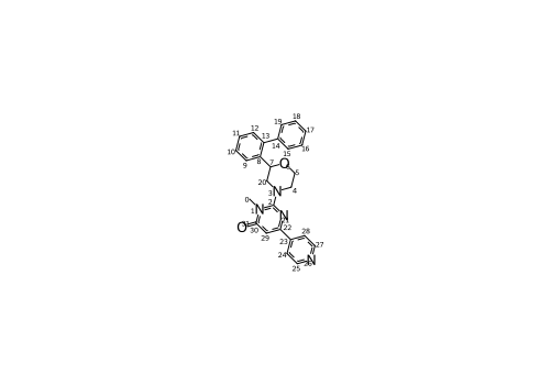 Cn1c(N2CCOC(c3ccccc3-c3ccccc3)C2)nc(-c2ccncc2)cc1=O